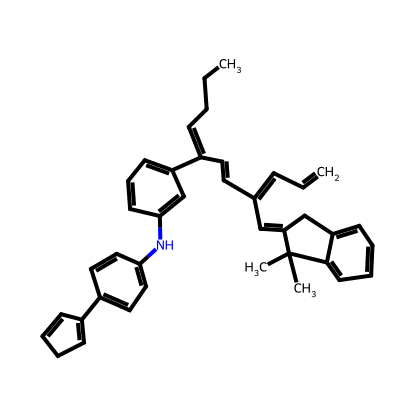 C=C/C=C(C=C/C(=C\CCC)c1cccc(Nc2ccc(C3=CCC=C3)cc2)c1)\C=C1/Cc2ccccc2C1(C)C